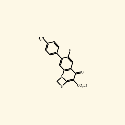 CCOC(=O)c1c2n(c3cc(-c4ccc(N)cc4)c(F)cc3c1=O)CS2